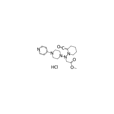 COC(=O)CN(N1CCN(c2ccncc2)CC1)N1CCCCC1=C=O.Cl